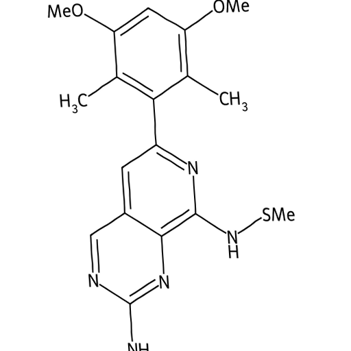 COc1cc(OC)c(C)c(-c2cc3cnc(N)nc3c(NSC)n2)c1C